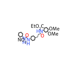 CCOC(=O)c1cc(OC)c(OC)cc1NC(=O)CCc1ccc(NC(=O)Nc2ccccc2[N+](=O)[O-])cc1